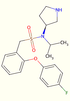 CC(C)N([C@H]1CCNC1)S(=O)(=O)Cc1ccccc1Oc1ccc(F)cc1